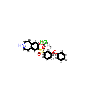 COc1cc2c(cc1S(=O)(=O)c1cccc(Oc3ccccc3)c1)CCNCC2.Cl